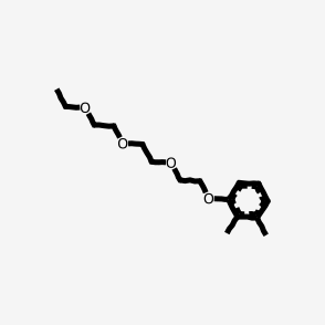 CCOCCOCCOCCOc1cccc(C)c1C